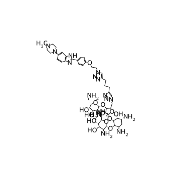 CN1CCN(c2ccc3nc(-c4ccc(OCCn5cc(CCCc6cn(CC7OC(OC8[C@H](O[C@H]9OC(CN)[C@@H](O)[C@H](O)C9N)C(N)C[C@@H](N)[C@H]8O)[C@@H](O)[C@H]7O[C@H]7O[C@@H](CN)[C@@H](O)C(O)C7N)nn6)nn5)cc4)[nH]c3c2)CC1